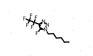 CCCCCCn1nnc(C(F)(F)C(F)(F)F)c1F